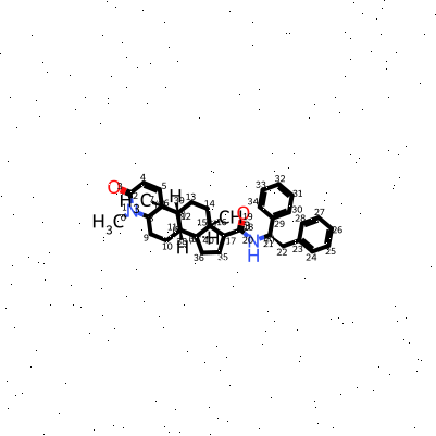 CN1C(=O)C=C[C@@]2(C)C1CC[C@@H]1[C@H]2CC[C@]2(C)C(C(=O)N[C@H](Cc3ccccc3)c3ccccc3)CC[C@@H]12